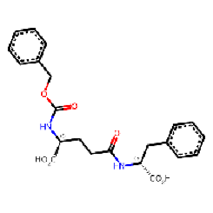 O=C(CC[C@H](NC(=O)OCc1ccccc1)C(=O)O)N[C@H](Cc1ccccc1)C(=O)O